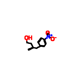 C=C(CCO)Cc1ccc([N+](=O)[O-])cc1